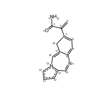 C=C(C(N)=O)C1=CC=C2N=Cc3cccn3C=C2C1